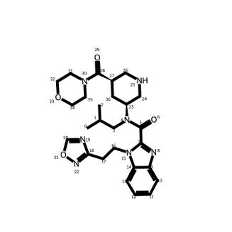 CC(C)CN(C(=O)c1nc2ccccc2n1CCc1ncon1)[C@@H]1CNC[C@H](C(=O)N2CCOCC2)C1